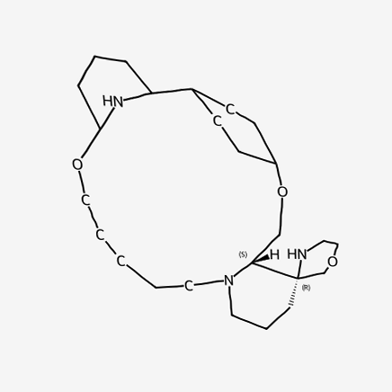 C1CCOC2CCCC(N2)C2CCC(CC2)OC[C@H]2N(CC1)CCC[C@]21COCCN1